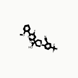 COc1ccccc1-c1ncc(C2(C(=O)O)CCN(c3ccc(C(F)(F)F)cc3C#N)CC2)cc1F